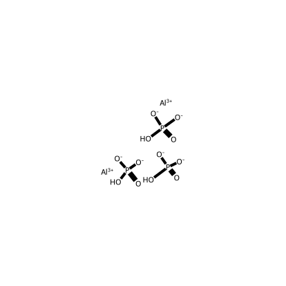 O=P([O-])([O-])O.O=P([O-])([O-])O.O=P([O-])([O-])O.[Al+3].[Al+3]